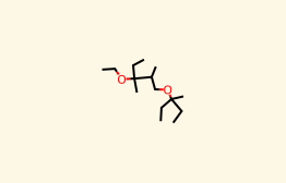 CCOC(C)(CC)C(C)COC(C)(CC)CC